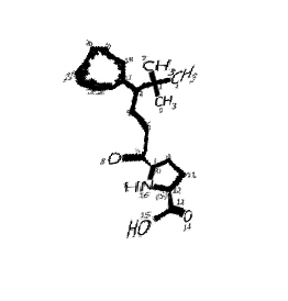 CC(C)(C)C(CCC(=O)[C@H]1CC[C@@H](C(=O)O)N1)c1ccccc1